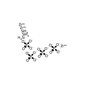 O=P([O-])([O-])[O-].O=P([O-])([O-])[O-].O=P([O-])([O-])[O-].O=P([O-])([O-])[O-].[SiH4].[SiH4].[SiH4].[Zr+4].[Zr+4].[Zr+4]